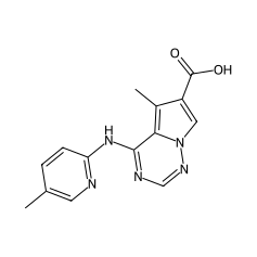 Cc1ccc(Nc2ncnn3cc(C(=O)O)c(C)c23)nc1